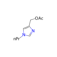 [CH2]CCn1cnc(COC(C)=O)c1